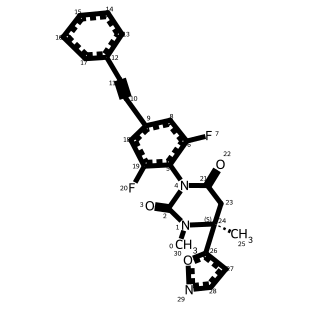 CN1C(=O)N(c2c(F)cc(C#Cc3ccccc3)cc2F)C(=O)C[C@@]1(C)c1ccno1